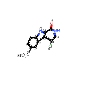 CCOC(=O)c1ccc2[nH]c3c(=O)[nH]cc(Cl)c3c2c1